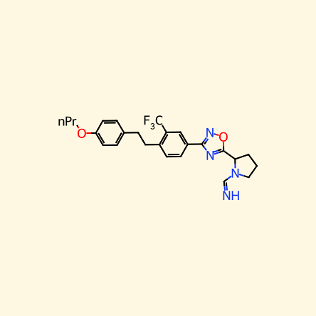 CCCOc1ccc(CCc2ccc(-c3noc(C4CCCN4C=N)n3)cc2C(F)(F)F)cc1